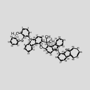 Cc1cccc(-n2c3ccccc3c3c4c(ccc32)C(C)(C)c2c(ccc3c2c2ccccc2n3-c2cccc3c5c(sc23)=CCC=CC=5)O4)c1Sc1ccccc1